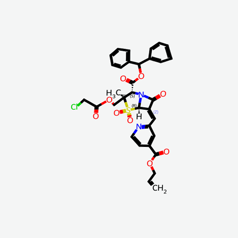 C=CCOC(=O)c1ccnc(/C=C2/C(=O)N3[C@@H](C(=O)OC(c4ccccc4)c4ccccc4)[C@](C)(COC(=O)CCl)S(=O)(=O)[C@H]23)c1